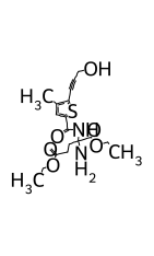 CCOC(=O)CCC(N)(NC(=O)c1cc(C)c(C#CCO)s1)C(=O)OCC